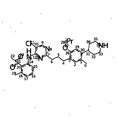 Cc1cc(CCCc2ncc(Cl)c(Nc3cccc(C)c3S(C)(=O)=O)n2)c(OC(C)C)cc1C1CCNCC1